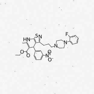 CCOC(=O)C1=C(C)Nc2snc(CCCN3CCN(c4ccccc4F)CC3)c2C1c1cccc([N+](=O)[O-])c1